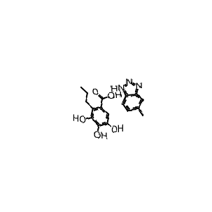 CCCc1c(C(=O)O)cc(O)c(O)c1O.Cc1ccc2[nH]nnc2c1